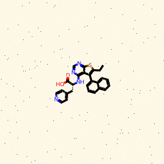 CCc1sc2ncnc(N[C@H](Cc3ccncc3)C(=O)O)c2c1-c1cccc2ccccc12